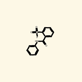 O=C(Nc1ccccc1)c1ccccc1S(=O)(=O)F